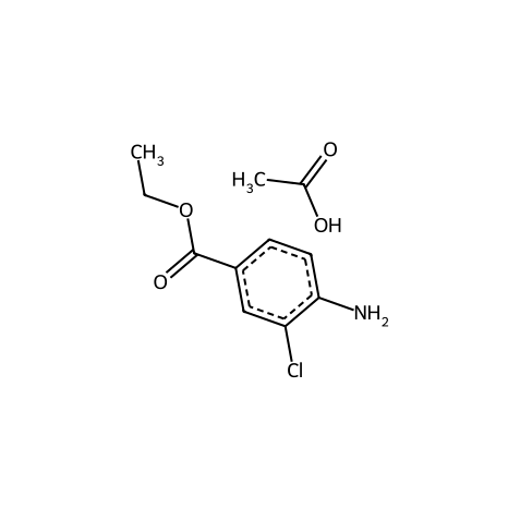 CC(=O)O.CCOC(=O)c1ccc(N)c(Cl)c1